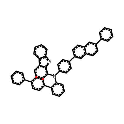 c1ccc(-c2ccc(-c3ccccc3N(c3ccc(-c4ccc5cc(-c6ccccc6)ccc5c4)cc3)c3cccc4c3sc3ccccc34)cc2)cc1